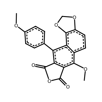 COc1ccc(-c2c3c(c(OC)c4ccc5c(c24)OCO5)C(=O)OC3=O)cc1